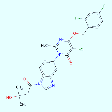 Cc1nc(OCc2ccc(F)cc2F)c(Cl)c(=O)n1-c1ccc2c(c1)ncn2C(=O)CC(C)(C)O